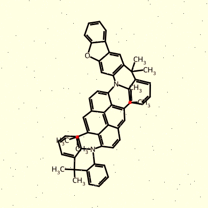 CC(C)c1cc2ccc(N3c4ccccc4C(C)(C)c4cc5c(cc43)oc3ccccc35)c3c(C(C)C)cc4ccc(N5c6ccccc6C(C)(C)c6ccccc65)c1c4c23